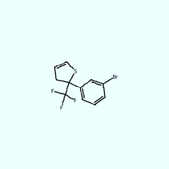 FC(F)(F)C1(c2cccc(Br)c2)CC=CS1